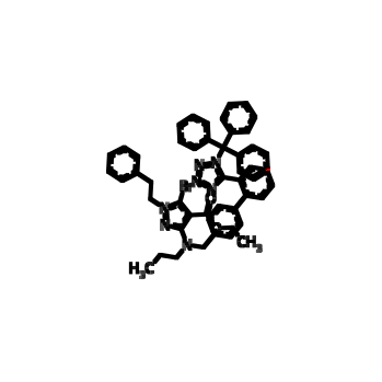 CCCN(Cc1ccc(-c2ccccc2-c2nnnn2C(c2ccccc2)(c2ccccc2)c2ccccc2)cc1)c1nn(CCc2ccccc2)c(Br)c1C(=O)OCC